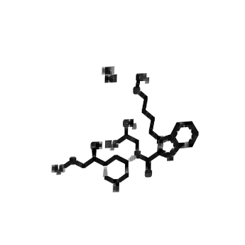 COCCCCn1c(C(=O)N(CC(C)C)[C@@H]2CNC[C@H]([C@H](O)COC)C2)nc2ccccc21.Cl.Cl